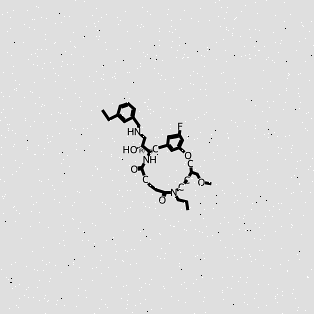 CCCN1CCC(COC)COc2cc(F)cc(c2)C[C@@H]([C@H](O)CNCc2cccc(CC)c2)NC(=O)CCCC1=O